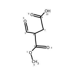 COC(=O)C(C=O)CC(=O)O